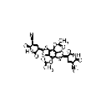 [C-]#[N+]C1=CC(=C2Sc3c(OC(C)=O)c4c(c(OC(C)=O)c3S2)SC(=C2C=C(C#N)C(=O)NC2=O)S4)C(=O)NC1=O